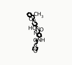 C[C@H](CC(=O)N1CCC(O)(Cn2cnc3cc(NC(=O)CCN4CCOCC4)ccc3c2=O)CC1)c1ccccc1